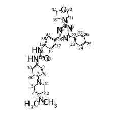 CN(C)C1CCN(c2ccc(NC(=O)Nc3ccc(-c4nc(-c5ccccc5)nc(N5CCOCC5)n4)cc3)cc2)CC1